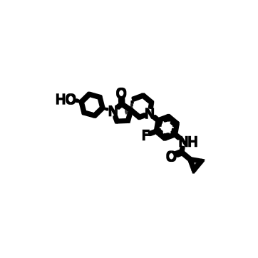 O=C(Nc1ccc(N2CCC[C@@]3(CCN([C@H]4CC[C@H](O)CC4)C3=O)C2)c(F)c1)C1CC1